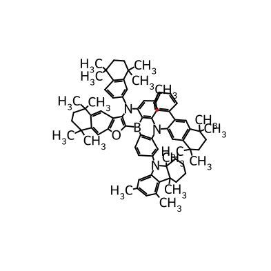 Cc1cc2c3c(c1)N(c1ccc4c(c1)C(C)(C)CCC4(C)C)c1c(oc4cc5c(cc14)C(C)(C)CCC5(C)C)B3c1ccc(N3c4cc(C)cc(C)c4C4(C)CCCCC34C)cc1N2c1cc2c(cc1-c1ccccc1)C(C)(C)CCC2(C)C